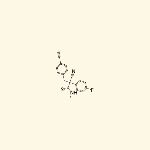 C#Cc1ccc(CC(C#N)(C(=S)NC)c2ccc(F)cc2)cc1